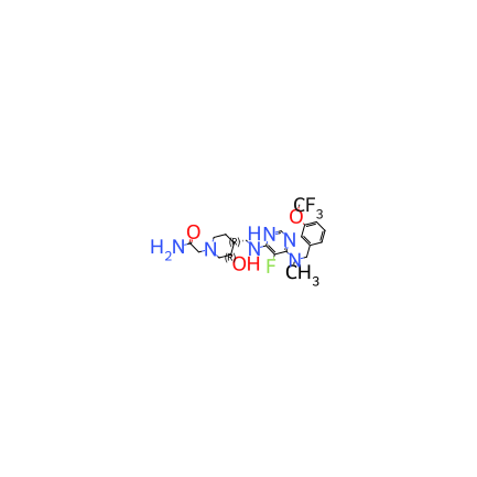 CN(Cc1cccc(OC(F)(F)F)c1)c1ncnc(NC[C@H]2CCN(CC(N)=O)C[C@@H]2O)c1F